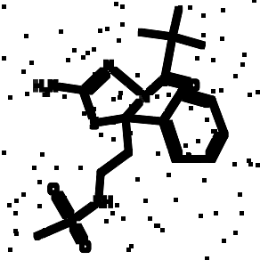 CC(C)(C)C(=O)N1N=C(N)SC1(CCNS(C)(=O)=O)c1ccccc1